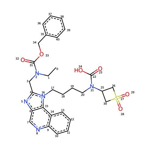 CCN(Cc1nc2cnc3ccccc3c2n1CCCCN(C(=O)O)C1CS(=O)(=O)C1)C(=O)OCc1ccccc1